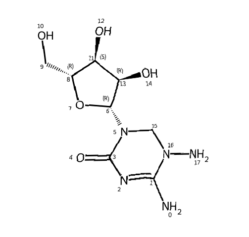 NC1=NC(=O)N([C@@H]2O[C@H](CO)[C@@H](O)[C@H]2O)CN1N